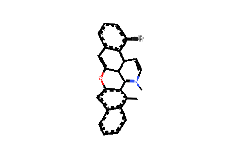 Cc1c2c(cc3ccccc13)OC1=Cc3cccc(C(C)C)c3C3C=C[N+](C)=C2C13